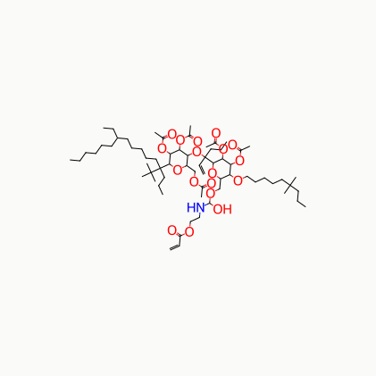 C=CC(=O)OCCNC(O)OCC1OC(C(C=C)(CCC)OC2C(COC(C)=O)OC(C(CCC)(CCCCCC(CC)CCCCCC)C(C)(C)C)C(OC(C)=O)C2OC(C)=O)C(OC(C)=O)C(OC(C)=O)C1OCCCCCC(C)(C)CCC